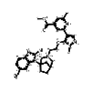 COC(=O)c1cc(C)nc(-c2cnn(C)c2OCCN2CC3CCC(n4c(N)nc5ccc(Br)cc54)(C3)C2)c1